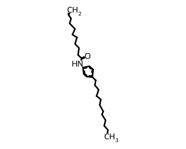 C=CCCCCCCCCC(=O)Nc1ccc(CCCCCCCCCCCC)cc1